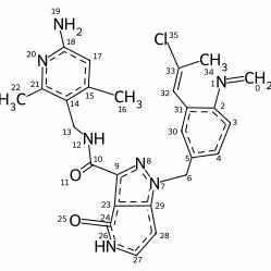 C=Nc1ccc(Cn2nc(C(=O)NCc3c(C)cc(N)nc3C)c3c(=O)[nH]ccc32)cc1/C=C(\C)Cl